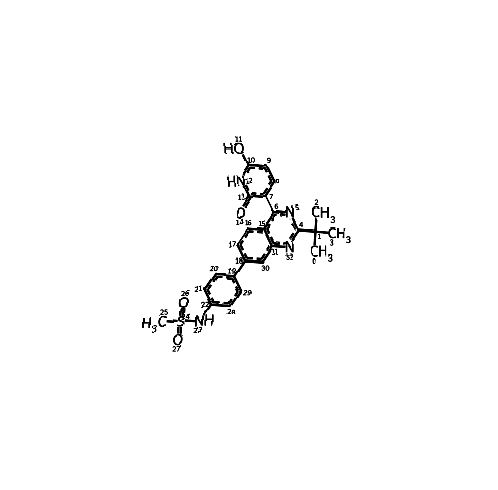 CC(C)(C)c1nc(-c2ccc(O)[nH]c2=O)c2ccc(-c3ccc(NS(C)(=O)=O)cc3)cc2n1